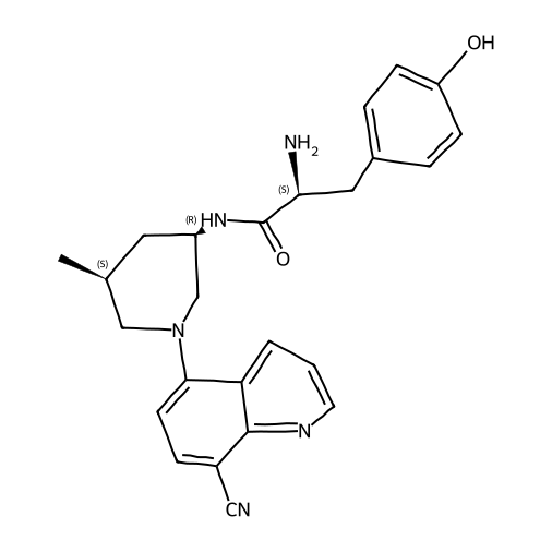 C[C@H]1C[C@@H](NC(=O)[C@@H](N)Cc2ccc(O)cc2)CN(c2ccc(C#N)c3ncccc23)C1